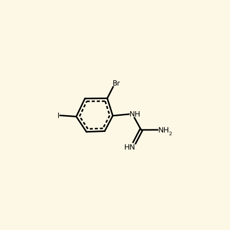 N=C(N)Nc1ccc(I)cc1Br